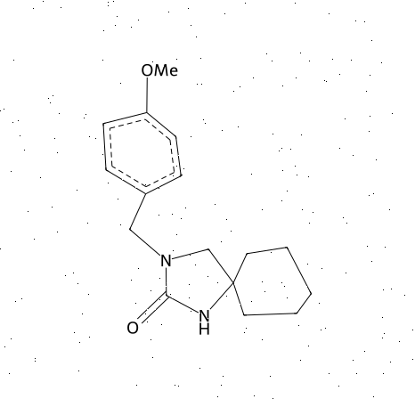 COc1ccc(CN2CC3(CCCCC3)NC2=O)cc1